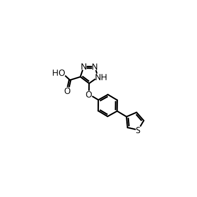 O=C(O)c1nn[nH]c1Oc1ccc(-c2ccsc2)cc1